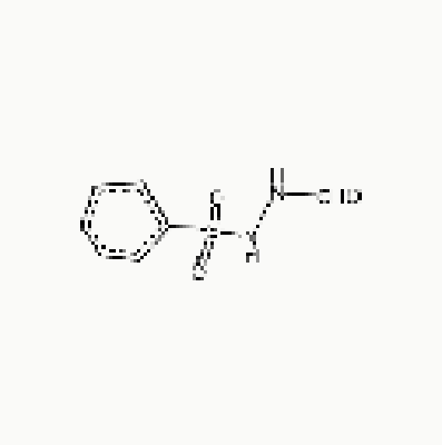 O=CNNS(=O)(=O)c1ccccc1